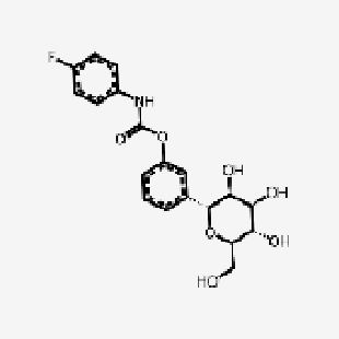 O=C(Nc1ccc(F)cc1)Oc1cccc([C@H]2O[C@H](CO)[C@@H](O)[C@H](O)[C@@H]2O)c1